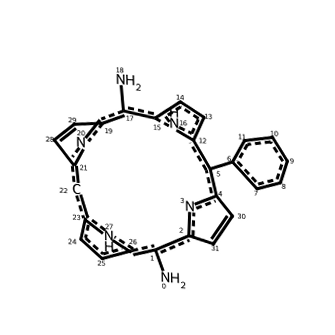 Nc1c2nc(c(-c3ccccc3)c3ccc([nH]3)c(N)c3nc(cc4ccc1[nH]4)C=C3)C=C2